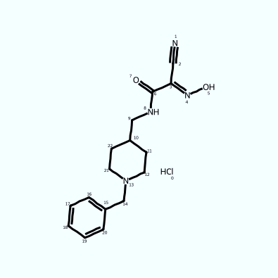 Cl.N#CC(=NO)C(=O)NCC1CCN(Cc2ccccc2)CC1